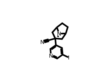 CN1C2CCC1CC(C#N)(c1cncc(I)c1)C2